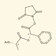 C=C1CCC(=O)N1OC(=O)[C@@H](OC(=O)[C@H](C)OC(C)=O)c1ccccc1